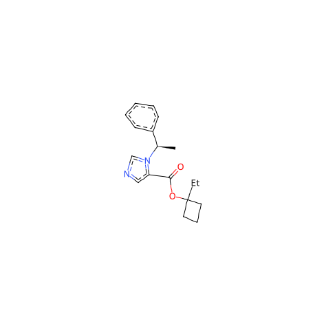 CCC1(OC(=O)c2cncn2[C@H](C)c2ccccc2)CCC1